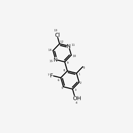 Cc1cc(O)cc(F)c1-c1cnc(Cl)cn1